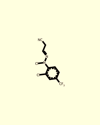 N#CCC=NN(Cl)c1ccc(C(F)(F)F)cc1Cl